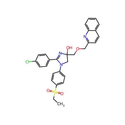 CCS(=O)(=O)c1ccc(N2CC(O)(COCc3ccc4ccccc4n3)N=C2c2ccc(Cl)cc2)cc1